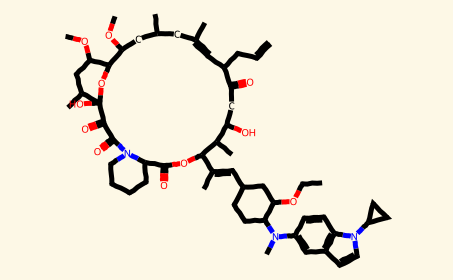 C=CCC1/C=C(\C)CC(C)CC(OC)C2OC(O)(C(=O)C(=O)N3CCCCC3C(=O)OC(C(C)=CC3CCC(N(C)c4ccc5c(ccn5C5CC5)c4)C(OCC)C3)C(C)C(O)CC1=O)C(C)CC2OC